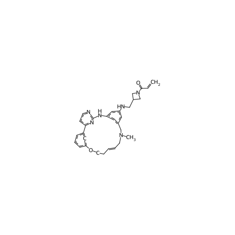 C=CC(=O)N1CC(CNc2cc3cc(c2)Nc2nccc(n2)-c2cccc(c2)OCC/C=C/CN(C)C3)C1